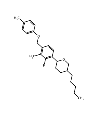 CCCCCC1CCC(c2ccc(COc3ccc(C)cc3)c(C)c2F)OC1